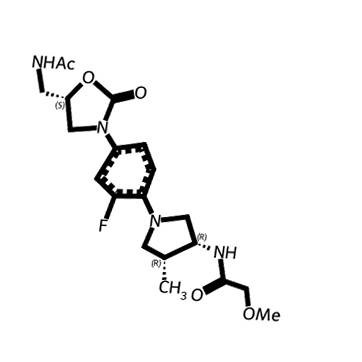 COCC(=O)N[C@H]1CN(c2ccc(N3C[C@H](CNC(C)=O)OC3=O)cc2F)C[C@H]1C